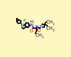 CCc1oc(N2CC(CC)(CC)C2)nc1C(=O)Nc1cc(F)c2c(c1)CCN2C1CC2CC2C1